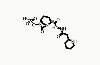 O=C(CC1CCCCN1)NNC(=O)[C@@H]1CCC2CN1C(=O)N2OS(=O)(=O)O